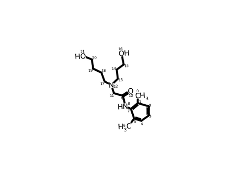 Cc1cccc(C)c1NC(=O)CN(CCCO)CCCCO